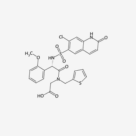 COc1ccccc1[C@H](NS(=O)(=O)c1cc2ccc(=O)[nH]c2cc1Cl)C(=O)N(CC(=O)O)Cc1cccs1